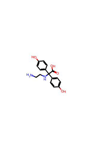 NCCNC(C(=O)O)(c1ccc(O)cc1)c1ccc(O)cc1